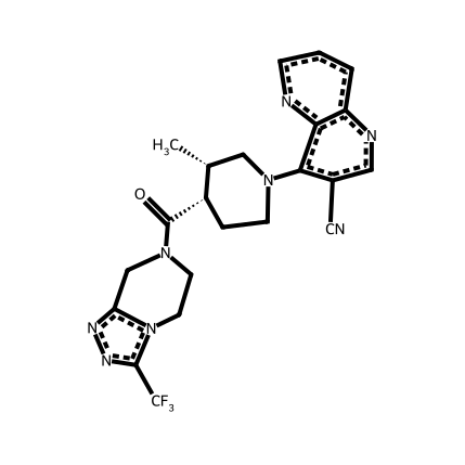 C[C@@H]1CN(c2c(C#N)cnc3cccnc23)CC[C@@H]1C(=O)N1CCn2c(nnc2C(F)(F)F)C1